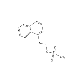 CS(=O)(=O)OCCc1cccc2ccccc12